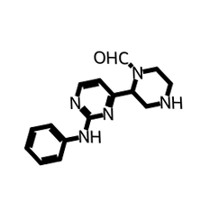 O=CN1CCNCC1c1ccnc(Nc2ccccc2)n1